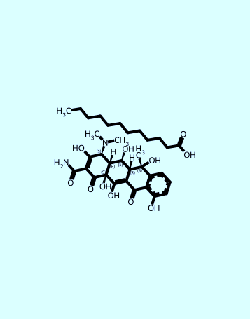 CCCCCCCCCCCC(=O)O.CN(C)[C@@H]1C(O)=C(C(N)=O)C(=O)[C@@]2(O)C(O)=C3C(=O)c4c(O)cccc4[C@@](C)(O)[C@H]3[C@H](O)[C@@H]12